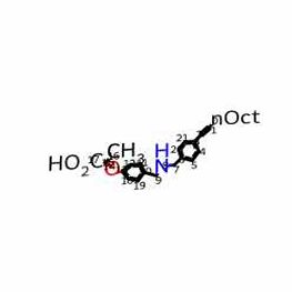 CCCCCCCCC#Cc1ccc(CNCc2ccc(OC(C)C(=O)O)cc2)cc1